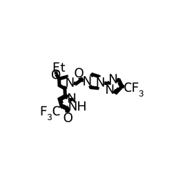 CCOC1CC(c2cc(C(F)(F)F)c(=O)[nH]n2)N(CC(=O)N2CCN(c3ncc(C(F)(F)F)cn3)CC2)C1